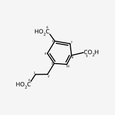 O=C(O)CCc1cc(C(=O)O)cc(C(=O)O)c1